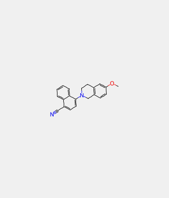 COc1ccc2c(c1)CCN(c1ccc(C#N)c3ccccc13)C2